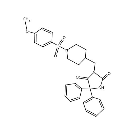 COc1ccc(S(=O)(=O)N2CCC(CN3C(=O)NC(c4ccccc4)(c4ccccc4)C3=O)CC2)cc1